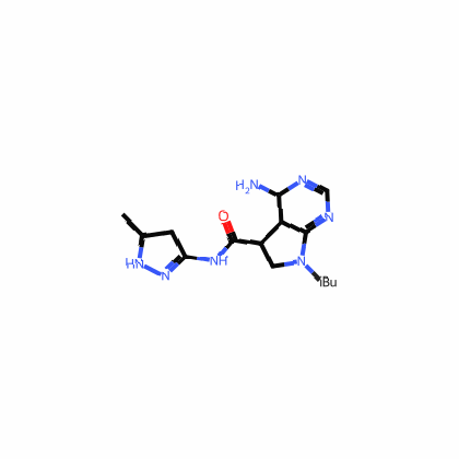 CCC(C)N1CC(C(=O)NC2=NNC(C)C2)C2C1=NC=NC2N